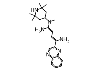 CN(/C(N)=C/C=C(\N)c1cnc2ccccc2n1)C1CC(C)(C)NC(C)(C)C1